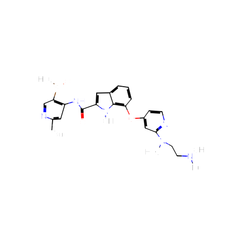 CCN(C)CCN(C)c1cc(Oc2cccc3cc(C(=O)Nc4cc(C(C)(C)C)ncc4[S+](C)[O-])n(C)c23)ccn1